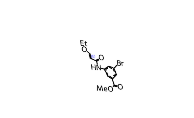 CCO/C=C/C(=O)Nc1cc(Br)cc(C(=O)OC)c1